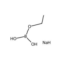 CCOB(O)O.[NaH]